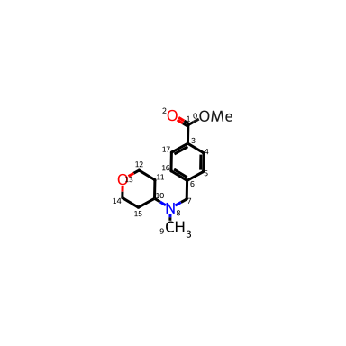 COC(=O)c1ccc(CN(C)C2CCOCC2)cc1